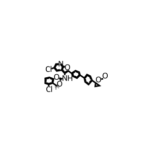 C[C@@H](OC(=O)Nc1c(-c2ccc(-c3ccc(C4(OC=O)CC4)cc3)cc2)oc2ncc(Cl)cc12)c1ccccc1Cl